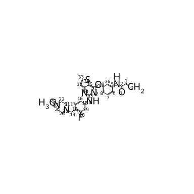 C=CC(=O)Nc1cccc(Oc2nc(Nc3ccc(CN4CCN(C)CC4)c(F)c3)nc3ccsc23)c1